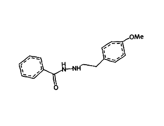 COc1ccc(CCNNC(=O)c2ccccc2)cc1